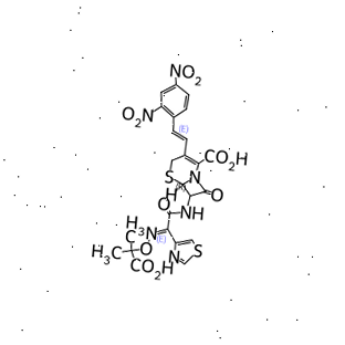 CC(C)(O/N=C(/C(=O)NC1C(=O)N2C(C(=O)O)=C(/C=C/c3ccc([N+](=O)[O-])cc3[N+](=O)[O-])CS[C@H]12)c1cscn1)C(=O)O